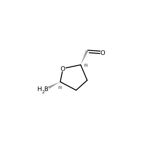 B[C@H]1CC[C@@H](C=O)O1